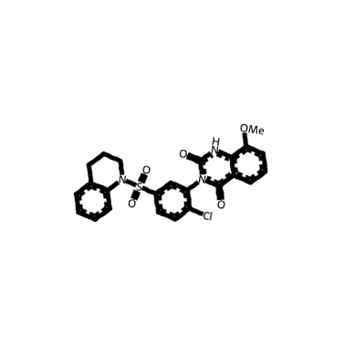 COc1cccc2c(=O)n(-c3cc(S(=O)(=O)N4CCCc5ccccc54)ccc3Cl)c(=O)[nH]c12